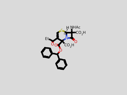 CCC(=O)C1=CS[C@@H]2N(C(=O)C2(NC(C)=O)C(=O)O)C1(C(=O)O)C(=O)OC(c1ccccc1)c1ccccc1